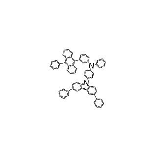 c1ccc(-c2ccc3c(c2)c2cc(-c4ccccc4)ccc2n3-c2ccc(N(c3ccccc3)c3cccc(-c4c5ccccc5c(-c5ccccc5)c5ccccc45)c3)cc2)cc1